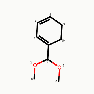 COC(OC)C1=CC=CC[CH]1